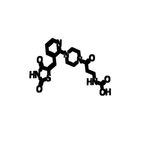 O=C(O)NCCC(=O)N1CCN(c2ncccc2C=C2SC(=O)NC2=O)CC1